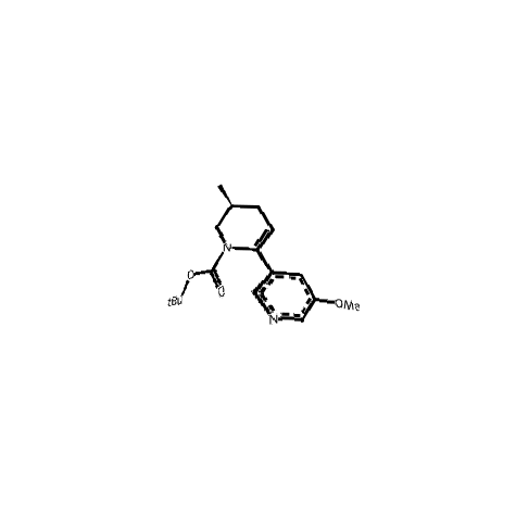 COc1cncc(C2=CC[C@H](C)CN2C(=O)OC(C)(C)C)c1